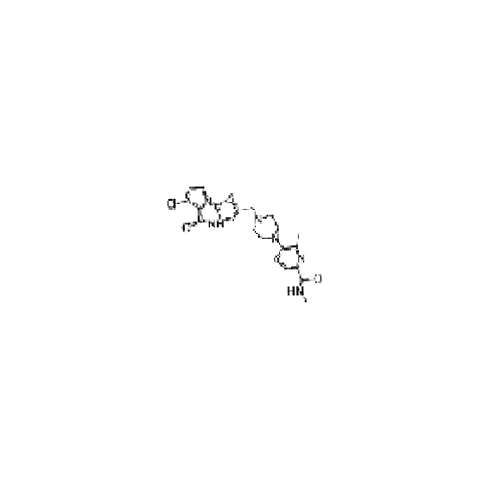 CNC(=O)c1ccc(N2CCN(Cc3cc4[nH]c(=O)c5c(Cl)ccn5c4s3)CC2)c(C)n1